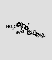 CC(C)OCCn1c(Cc2cc(F)c(-c3cccc(OCc4cnc(-n5ccnn5)cc4Cl)n3)cc2F)nc2ccc(C(=O)O)cc21